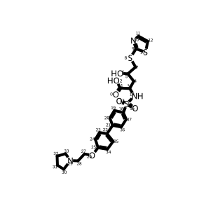 O=C(O)C(CC(O)CSc1nccs1)NS(=O)(=O)c1ccc(-c2ccc(OCCN3CCCC3)cc2)cc1